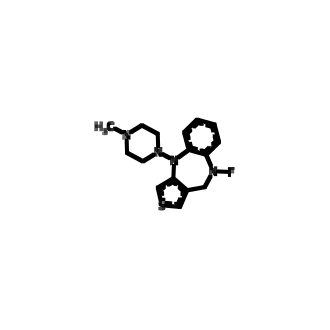 CN1CCN(N2c3cscc3CN(F)c3ccccc32)CC1